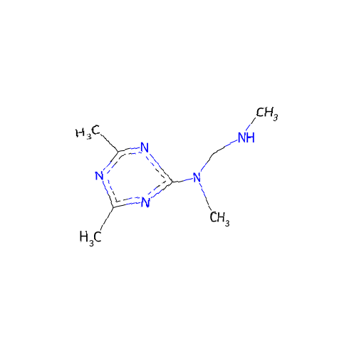 CNCN(C)c1nc(C)nc(C)n1